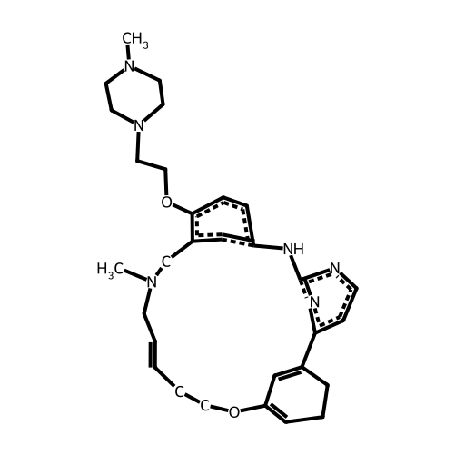 CN1CCN(CCOc2ccc3cc2CN(C)C/C=C/CCOC2=CCCC(=C2)c2ccnc(n2)N3)CC1